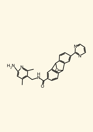 Cc1cc(N)nc(C)c1CNC(=O)c1ccc2c(c1)C1OC2c2cc(-c3ncccn3)ccc21